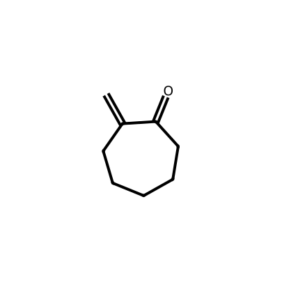 C=C1CCCCCC1=O